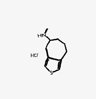 CNC1CCCc2cscc2C1.Cl